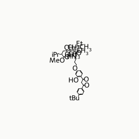 CCC(C)(C)CC(C(=O)NCCCOc1ccc(C(=O)CC(=O)c2ccc(C(C)(C)C)cc2)c(O)c1)C(C)(C)C(C)(C)CC(C(=O)OC)C(C)C